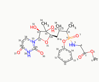 CC(C)OC(=O)CNP(=O)(Oc1ccccc1)C(C)C(C)C[C@H]1OC(n2ccc(=O)[nH]c2=O)[C@@H](O)C1(C)O